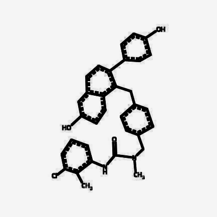 Cc1c(Cl)cccc1NC(=O)N(C)Cc1ccc(Cc2c(-c3ccc(O)cc3)ccc3cc(O)ccc23)cc1